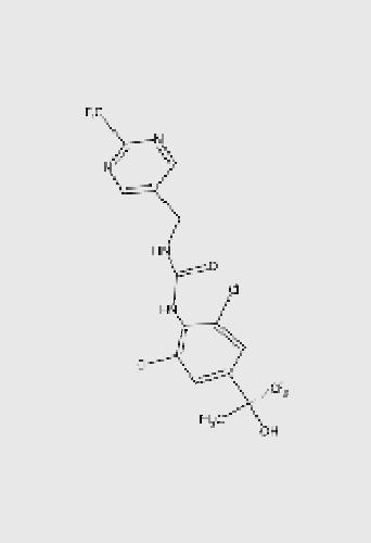 C[C@](O)(c1cc(Cl)c(NC(=O)NCc2cnc(C(F)(F)F)nc2)c(Cl)c1)C(F)(F)F